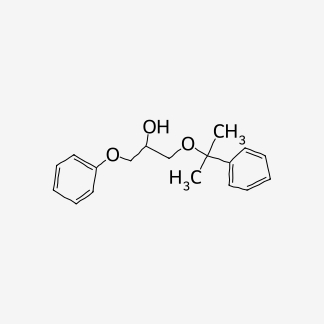 CC(C)(OCC(O)COc1ccccc1)c1ccccc1